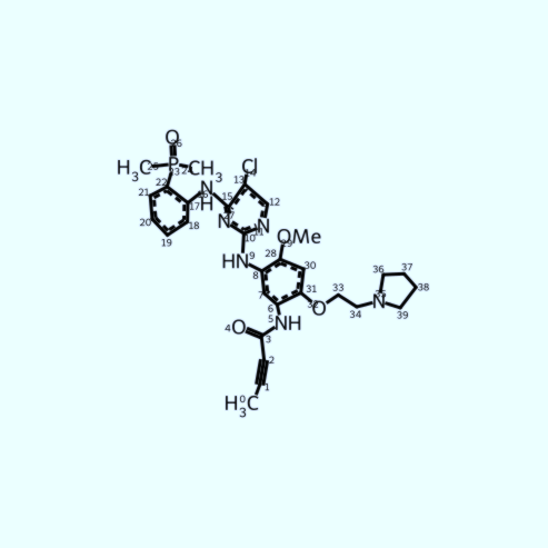 CC#CC(=O)Nc1cc(Nc2ncc(Cl)c(Nc3ccccc3P(C)(C)=O)n2)c(OC)cc1OCCN1CCCC1